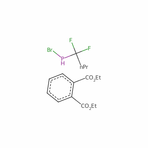 CCCC(F)(F)PBr.CCOC(=O)c1ccccc1C(=O)OCC